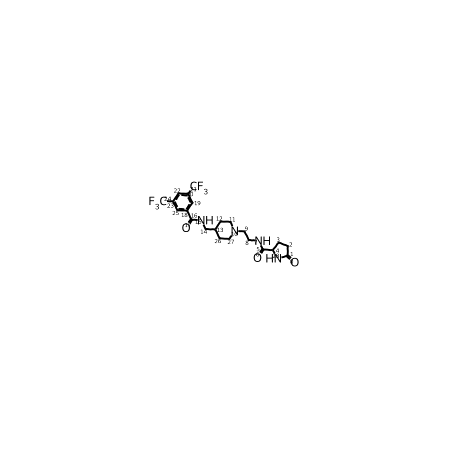 O=C1CCC(C(=O)NCCN2CCC(CNC(=O)c3cc(C(F)(F)F)cc(C(F)(F)F)c3)CC2)N1